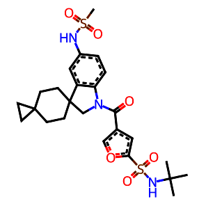 CC(C)(C)NS(=O)(=O)c1cc(C(=O)N2CC3(CCC4(CC4)CC3)c3cc(NS(C)(=O)=O)ccc32)co1